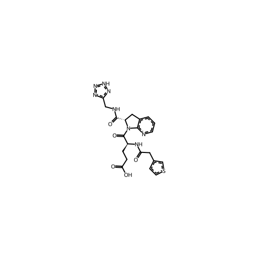 O=C(O)CC[C@H](NC(=O)Cc1ccsc1)C(=O)N1c2ncccc2C[C@H]1C(=O)NCc1nn[nH]n1